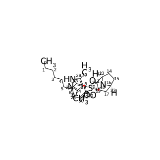 CCCCCCc1ccc(O[C@@H]2C[C@H]3CC[C@@H](C2)N3CS(=O)(=O)c2c(C)n[nH]c2C)cc1